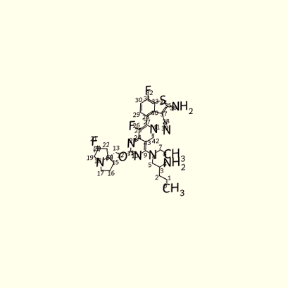 CCCC(N)CN(CC)c1nc(OC[C@]23CCCN2C[C@@H](F)C3)nc2c(F)c(-c3ccc(F)c4sc(N)c(C#N)c34)ncc12